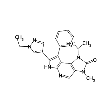 CCn1cc(-c2[nH]c3ncc4c(c3c2-c2ccccc2)n(C(C)C)c(=O)n4C)cn1